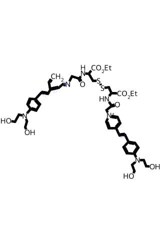 C=CC(/C=C/c1ccc(N(CCO)CCO)cc1)=C\C=N\CC(=O)NC(CSSCC(NC(=O)C[n+]1ccc(/C=C/c2ccc(N(CCO)CCO)cc2)cc1)C(=O)OCC)C(=O)OCC